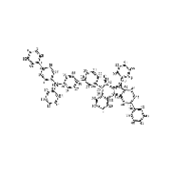 c1ccc(-c2ccc(N(c3ccccc3)c3ccc(-c4ccc5sc6c(c5c4)c4ccccc4c4c5cc(-c7ccccc7)ccc5n(-c5ccccc5)c64)cc3)cc2)cc1